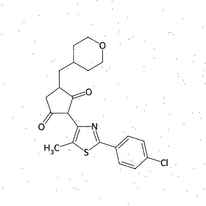 Cc1sc(-c2ccc(Cl)cc2)nc1C1C(=O)CC(CC2CCOCC2)C1=O